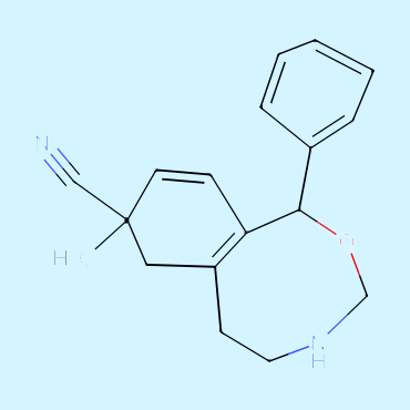 CC1(C#N)C=CC2=C(CCNCOC2c2ccccc2)C1